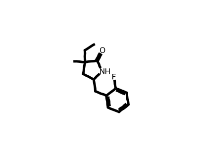 CCC1(C)CC(Cc2ccccc2F)NC1=O